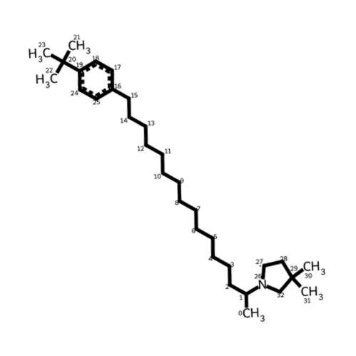 CC(CCCCCCCCCCCCCCc1ccc(C(C)(C)C)cc1)N1[CH]CC(C)(C)C1